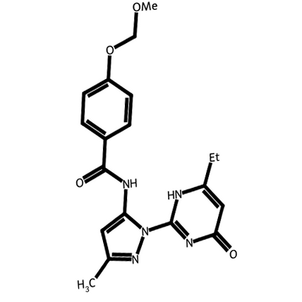 CCc1cc(=O)nc(-n2nc(C)cc2NC(=O)c2ccc(OCOC)cc2)[nH]1